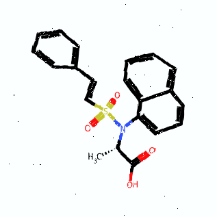 C[C@@H](C(=O)O)N(c1cccc2ccccc12)S(=O)(=O)C=Cc1ccccc1